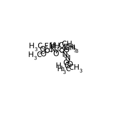 CCOc1cc2c(c(F)c1OCC)C(=N)N(CC(=O)c1cc(N3CCN(CC(=O)OC(C)(C)C)CC3)c(OC)c(C(C)(C)C)c1)C2